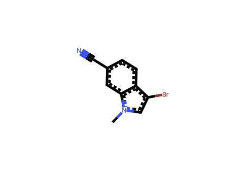 Cn1cc(Br)c2ccc(C#N)cc21